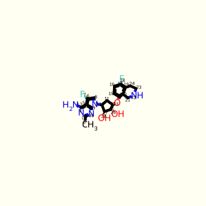 Cc1nc(N)c2c(F)cn(C3CC(Oc4ccc(F)c5c4CNCC5)[C@@H](O)[C@H]3O)c2n1